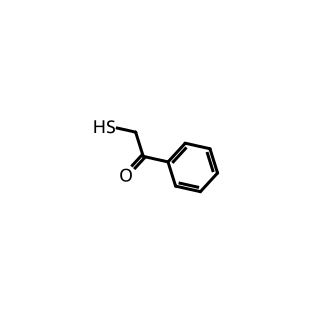 O=C(CS)c1ccccc1